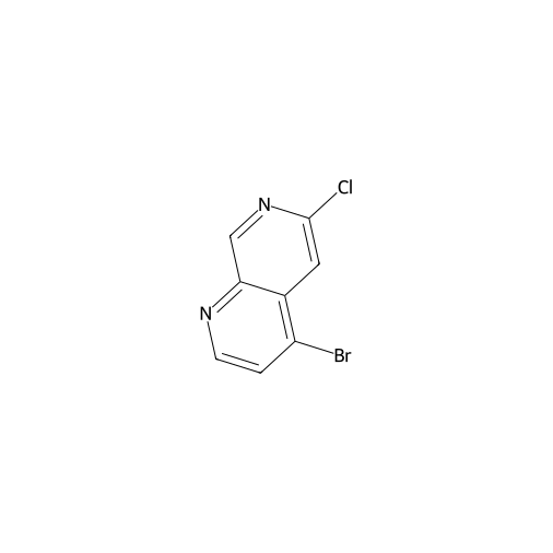 Clc1cc2c(Br)ccnc2cn1